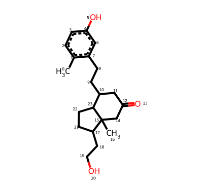 Cc1ccc(O)cc1CCC1CC(=O)CC2(C)C(CCO)CCC12